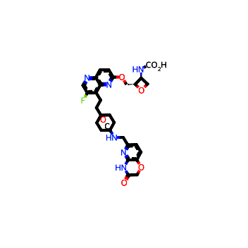 O=C(O)N[C@H]1CO[C@@H]1COc1ccc2ncc(F)c(CCC34CCC(NCc5ccc6c(n5)NC(=O)CO6)(CC3)CO4)c2n1